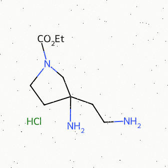 CCOC(=O)N1CCC(N)(CCN)C1.Cl